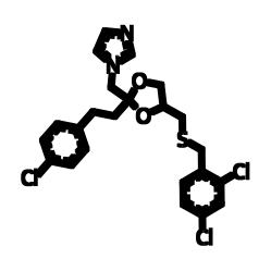 Clc1ccc(CCC2(Cn3ccnc3)OCC(CSCc3ccc(Cl)cc3Cl)O2)cc1